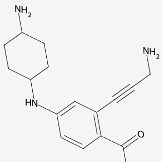 COC(=O)c1ccc(NC2CCC(N)CC2)cc1C#CCN